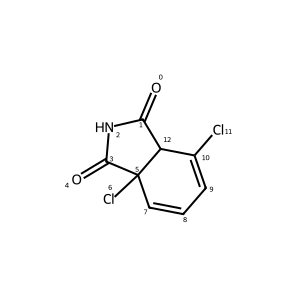 O=C1NC(=O)C2(Cl)C=CC=C(Cl)C12